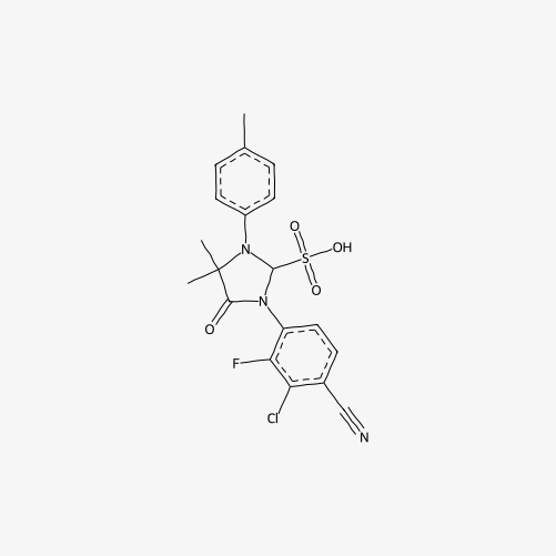 Cc1ccc(N2C(S(=O)(=O)O)N(c3ccc(C#N)c(Cl)c3F)C(=O)C2(C)C)cc1